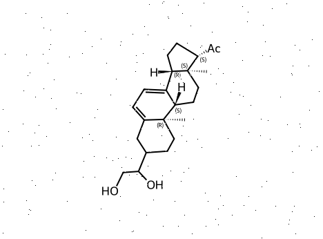 CC(=O)[C@H]1CC[C@H]2C3=CC=C4CC(C(O)CO)CC[C@]4(C)[C@H]3CC[C@]12C